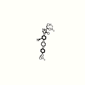 CCOc1ccc(N2CCN(c3ccc(-n4cnn(C(C)CC)c4=O)cc3C#N)CC2)cc1